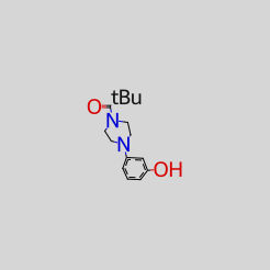 CC(C)(C)C(=O)N1CCN(c2cccc(O)c2)CC1